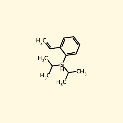 C=Cc1ccccc1[SiH](C(C)C)C(C)C